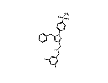 NS(=O)(=O)c1ccc(-n2nc(CNCc3cc(F)cc(F)c3)nc2Cc2ccccc2)cc1